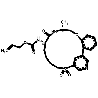 C=CCOC(=O)N[C@H]1CCCCS(=O)(=O)c2cncc(c2)-c2ccccc2OC[C@@H](C)NC1=O